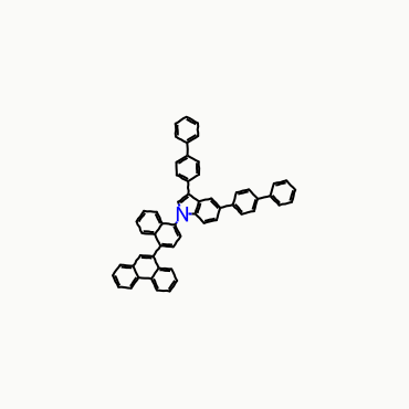 c1ccc(-c2ccc(-c3ccc4c(c3)c(-c3ccc(-c5ccccc5)cc3)cn4-c3ccc(-c4cc5ccccc5c5ccccc45)c4ccccc34)cc2)cc1